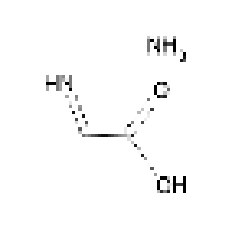 N.N=CC(=O)O